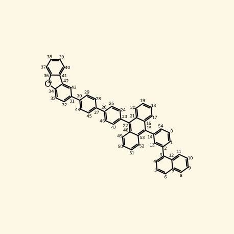 c1cc(-c2cccc3ccccc23)cc(-c2c3ccccc3c(-c3ccc(-c4ccc(-c5ccc6oc7ccccc7c6c5)cc4)cc3)c3ccccc23)c1